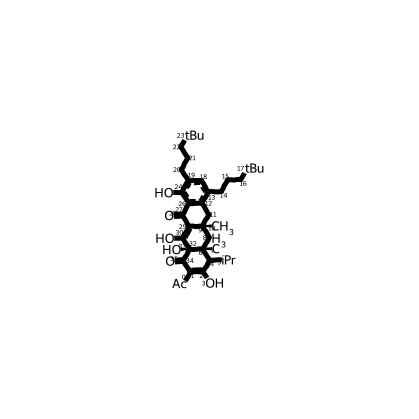 CC(=O)C1=C(O)C(C(C)C)[C@@]2(C)C[C@@]3(C)Cc4c(CCCC(C)(C)C)cc(CCCC(C)(C)C)c(O)c4C(=O)C3=C(O)[C@@]2(O)C1=O